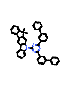 CC1(C)c2ccccc2-c2cc3c4ccccc4n(-c4nc(-c5cccc(-c6ccccc6)c5)nc(-c5cccc(-c6ccccc6)c5)n4)c3cc21